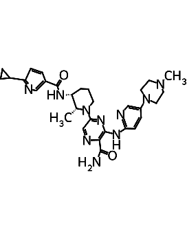 C[C@@H]1[C@H](NC(=O)c2ccc(C3CC3)nc2)CCCN1c1cnc(C(N)=O)c(Nc2ccc(N3CCN(C)CC3)cn2)n1